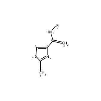 C=C(NC(C)C)c1csc(C)n1